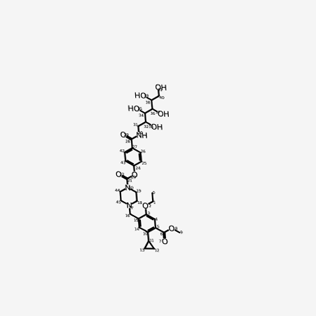 CCOc1cc(C(=O)OC)c(C2CC2)cc1CN1CCN(C(=O)Oc2ccc(C(=O)NCC(O)C(O)C(O)C(O)CO)cc2)CC1